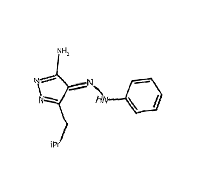 CC(C)CC1=NN=C(N)/C1=N/Nc1ccccc1